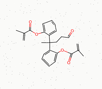 C=C(C)C(=O)Oc1ccccc1C(C)(CCC=O)c1ccccc1OC(=O)C(=C)C